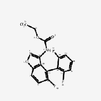 O=C(Nc1noc2ccc(F)c(-c3c(F)cccc3F)c12)OCC(Cl)(Cl)Cl